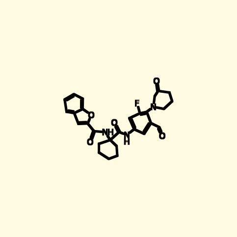 O=Cc1cc(NC(=O)C2(NC(=O)c3cc4ccccc4o3)CCCCC2)cc(F)c1N1CCCC(=O)C1